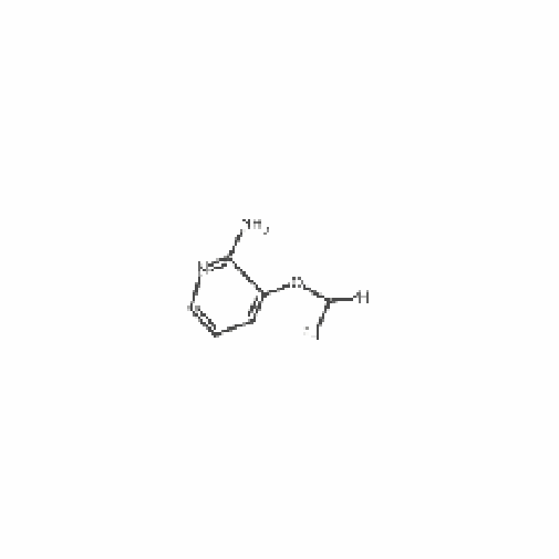 [2H]C([2H])Oc1cccnc1N